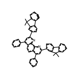 CC1(C)c2ccc#cc2-c2ccc(-c3cc(-c4ccccc4)c4ccc5c(-c6ccccc6)cc(-c6ccc7c(c6)C(C)(C)c6ccccc6-7)nc5c4n3)cc21